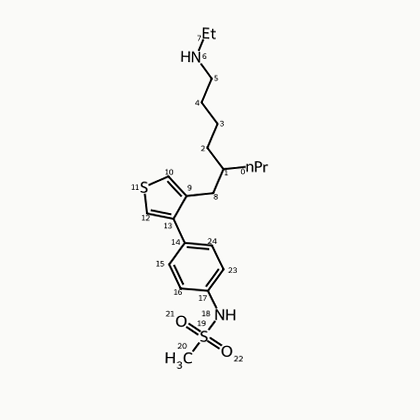 CCCC(CCCCNCC)Cc1cscc1-c1ccc(NS(C)(=O)=O)cc1